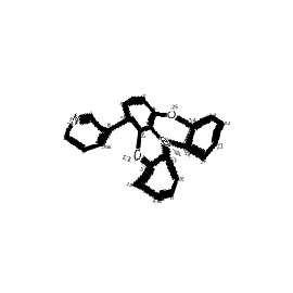 c1cncc(-c2ccc3c4c2Oc2ccccc2B4c2ccccc2O3)c1